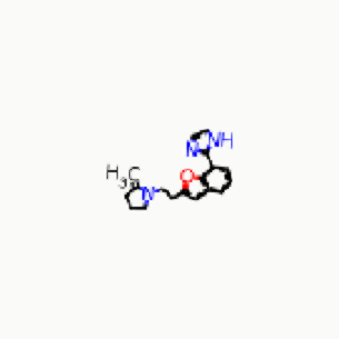 C[C@@H]1CCCN1CCc1cc2cccc(-c3ncc[nH]3)c2o1